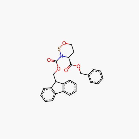 O=C(OCc1ccccc1)[C@@H]1CCOSN1C(=O)OCC1c2ccccc2-c2ccccc21